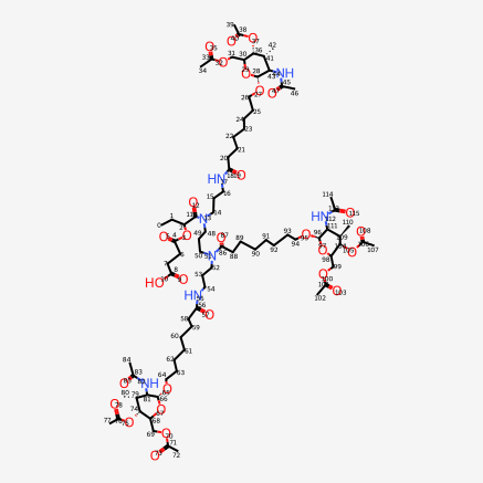 CCC(OC(=O)CCC(=O)O)C(=O)N(CCCNC(=O)CCCCCCCO[C@@H]1OC(COC(C)=O)[C@H](OC(C)=O)[C@H](C)C1NC(C)=O)CCCN(CCCNC(=O)CCCCCCCO[C@@H]1OC(COC(C)=O)[C@H](OC(C)=O)[C@H](C)C1NC(C)=O)C(=O)CCCCCCCO[C@@H]1OC(COC(C)=O)[C@H](OC(C)=O)[C@H](C)C1NC(C)=O